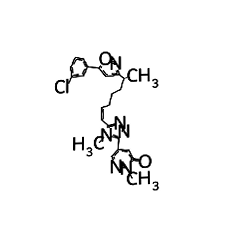 C[C@H](CCC/C=C\c1nnc(-c2cnn(C)c(=O)c2)n1C)c1cc(-c2cccc(Cl)c2)on1